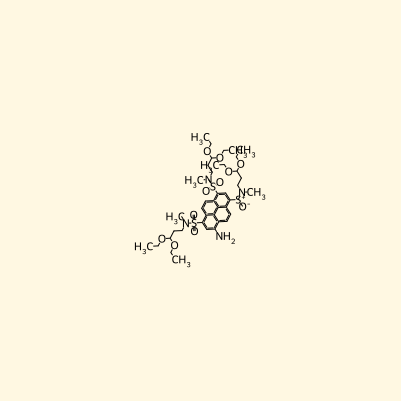 CCOC(CCN(C)[S+]([O-])c1cc(S(=O)(=O)N(C)CCC(OCC)OCC)c2ccc3c(S(=O)(=O)N(C)CCC(OCC)OCC)cc(N)c4ccc1c2c43)OCC